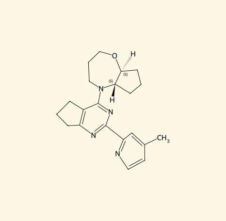 Cc1ccnc(-c2nc3c(c(N4CCCO[C@H]5CCC[C@@H]54)n2)CCC3)c1